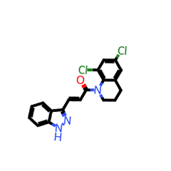 O=C(C=Cc1n[nH]c2ccccc12)N1CCCc2cc(Cl)cc(Cl)c21